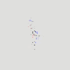 CCCCC(NC(=O)c1[nH]c2c(c1C)C(=O)CC(C)(C)C2)C(=O)Nc1ccc(OC2CCN(C)CC2)cc1OC